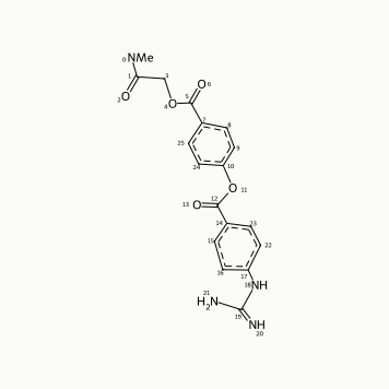 CNC(=O)COC(=O)c1ccc(OC(=O)c2ccc(NC(=N)N)cc2)cc1